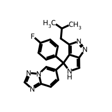 CC(C)CC1=C2C(=CNC2(c2ccc(F)cc2)c2ccc3ncnn3c2)N=N1